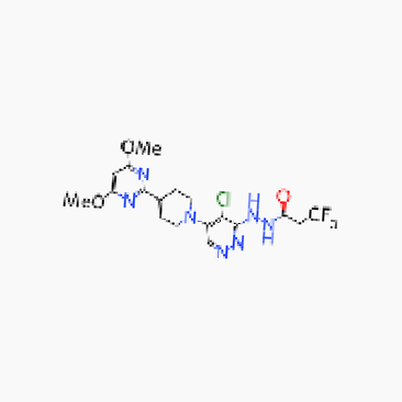 COc1cc(OC)nc(C2CCN(c3cnnc(NNC(=O)CC(F)(F)F)c3Cl)CC2)n1